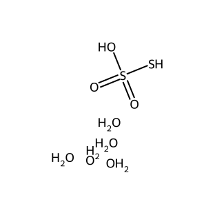 O.O.O.O.O.O=S(=O)(O)S